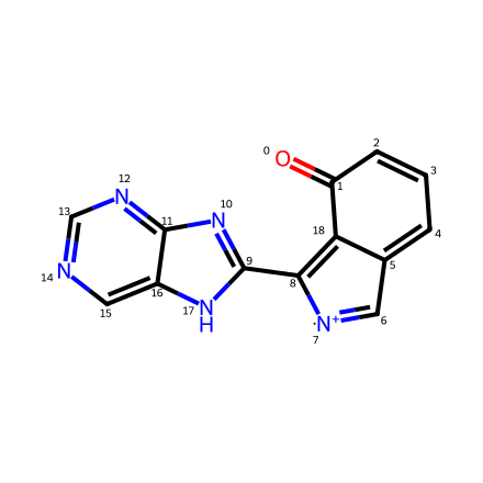 O=C1C=CC=C2C=[N+]C(c3nc4ncncc4[nH]3)=C12